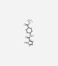 COC(=O)C1CCC(NC(=O)c2cccn2F)CC1